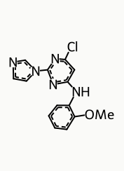 COc1ccccc1Nc1cc(Cl)nc(-n2ccnc2)n1